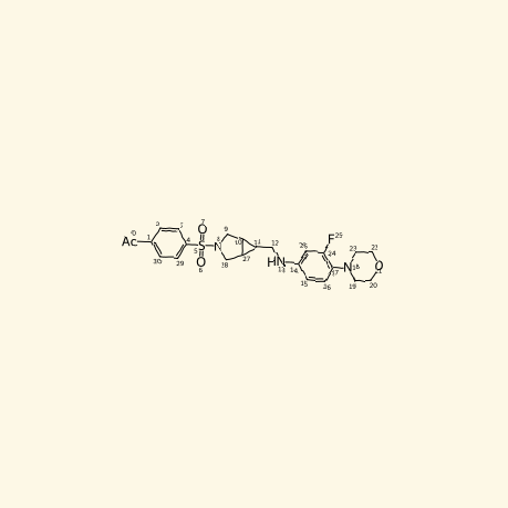 CC(=O)c1ccc(S(=O)(=O)N2CC3C(CNc4ccc(N5CCOCC5)c(F)c4)C3C2)cc1